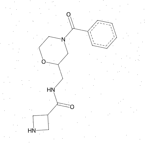 O=C(NCC1CN(C(=O)c2ccccc2)CCO1)C1CNC1